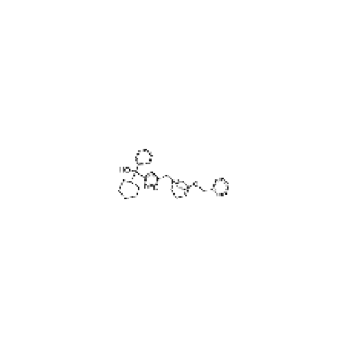 OC(c1ccccc1)(c1cc(C[N+]23CCC(CC2)C(OCc2ccccc2)C3)on1)C1CCCCC1